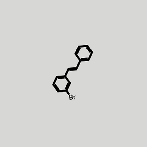 Brc1cccc(/C=C/c2ccccc2)c1